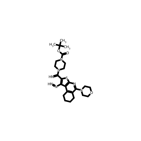 CC(C)(C)OC(=O)N1CCN(C(=N)c2sc3nc(N4CCOCC4)c4c(c3c2N=N)CCCC4)CC1